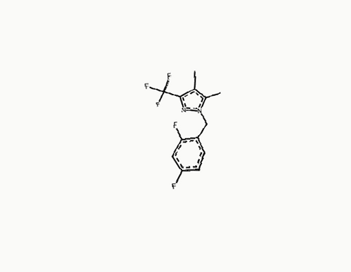 Cc1c(C(F)(F)F)nn(Cc2ccc(F)cc2F)c1C